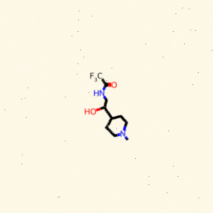 CN1CCC(C(O)CNC(=O)C(F)(F)F)CC1